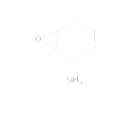 C1CCC2OC2C1.[SiH4]